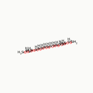 [SiH2]O[SiH2]O[SiH2]O[SiH2]O[SiH2]O[SiH2]O[SiH2]O[SiH2]O[SiH2]O[SiH2]O[SiH2]O[SiH2]O[SiH2]O[SiH2]O[SiH2]O[SiH2]O[SiH3]